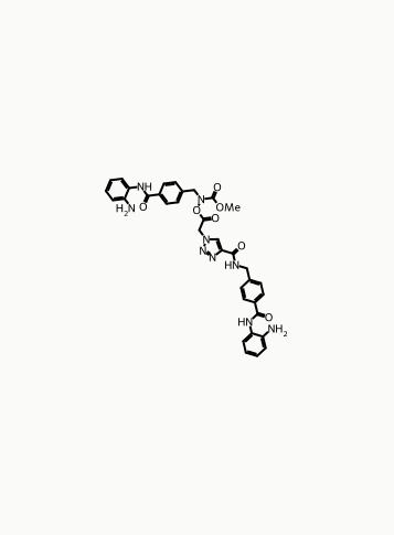 COC(=O)N(Cc1ccc(C(=O)Nc2ccccc2N)cc1)OC(=O)Cn1cc(C(=O)NCc2ccc(C(=O)Nc3ccccc3N)cc2)nn1